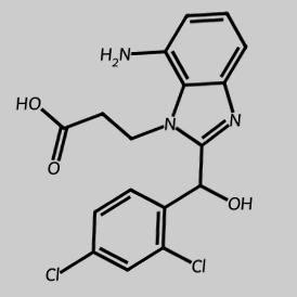 Nc1cccc2nc(C(O)c3ccc(Cl)cc3Cl)n(CCC(=O)O)c12